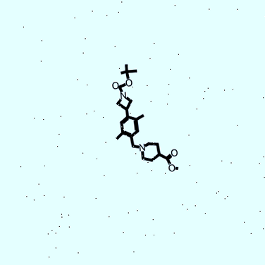 COC(=O)C1CCN(Cc2cc(C)c(C3CN(C(=O)OC(C)(C)C)C3)cc2C)CC1